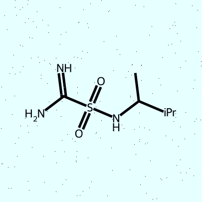 CC(C)C(C)NS(=O)(=O)C(=N)N